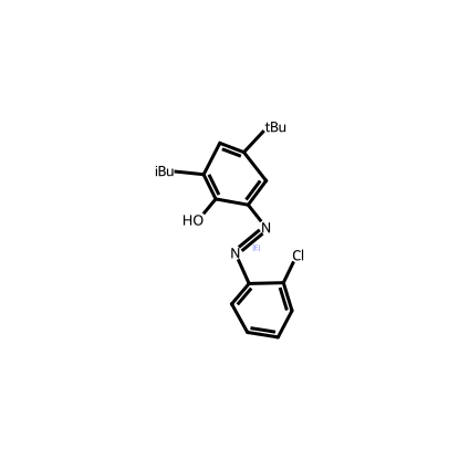 CCC(C)c1cc(C(C)(C)C)cc(/N=N/c2ccccc2Cl)c1O